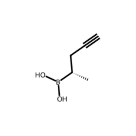 C#CC[C@H](C)B(O)O